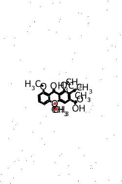 COc1cccc(OC)c1C(=O)c1c(OC)cc(C(=O)O)c(C(C)(C)C)c1OC